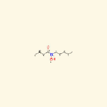 CCCCCN(O)C(=O)CCC